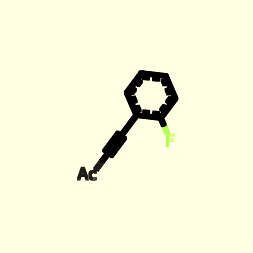 CC(=O)C#Cc1ccccc1F